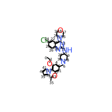 CCOc1cc(CN2CCC(Nc3nc(N4CCOCC4)c4cc(Cl)ccc4n3)CC2)cc(OCC)c1-n1cccc1